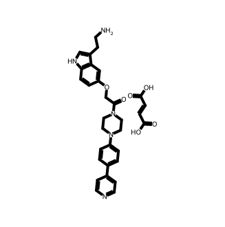 NCCc1c[nH]c2ccc(OCC(=O)N3CCN(c4ccc(-c5ccncc5)cc4)CC3)cc12.O=C(O)/C=C/C(=O)O